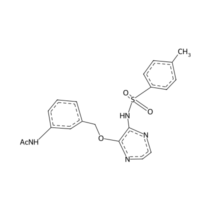 CC(=O)Nc1cccc(COc2nccnc2NS(=O)(=O)c2ccc(C)cc2)c1